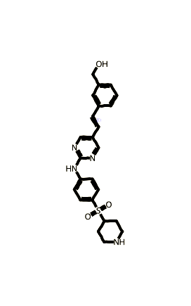 O=S(=O)(c1ccc(Nc2ncc(/C=C/c3cccc(CO)c3)cn2)cc1)C1CCNCC1